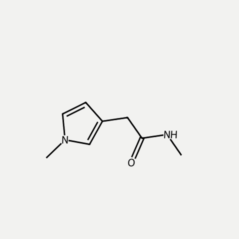 CNC(=O)Cc1ccn(C)c1